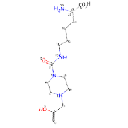 C=C(O)CN1CCN(C(=O)NCCCC[C@H](N)C(=O)O)CC1